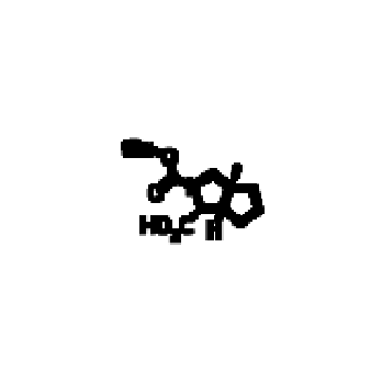 CC(C)(C)OC(=O)N1C[C@]2(C)CCC[C@@H]2[C@H]1C(=O)O